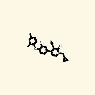 Cc1ccc(Oc2ccc(-c3ccn(CC4CC4)c(=O)c3C#N)cc2F)c(C)n1